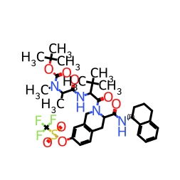 CC(C(=O)NC(C(=O)N1Cc2cc(OS(=O)(=O)C(F)(F)F)ccc2CC1C(=O)N[C@@H]1CCCc2ccccc21)C(C)(C)C)N(C)C(=O)OC(C)(C)C